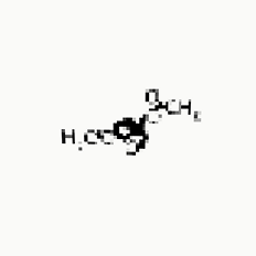 C=COC1C2CC3C(COC31)C2COC(C)=O